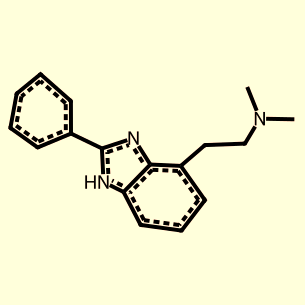 CN(C)CCc1cccc2[nH]c(-c3ccccc3)nc12